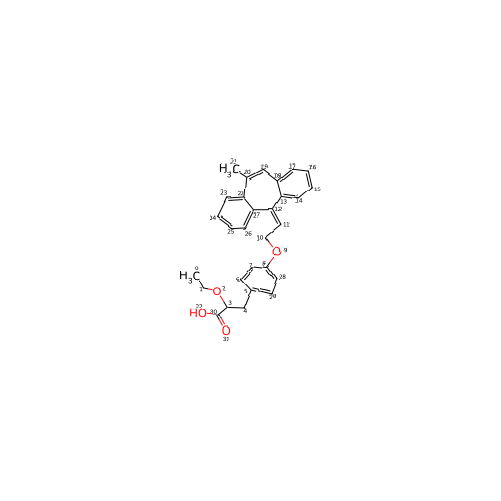 CCOC(Cc1ccc(OCC=C2c3ccccc3C=C(C)c3ccccc32)cc1)C(=O)O